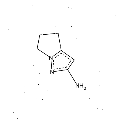 Nc1cc2n(n1)CCC2